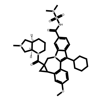 COc1ccc2c(c1)C1CC1(C(=O)N1CCC[C@@H]3CN(C)C[C@@H]31)Cn1c-2c(C2CCCCC2)c2ccc(C(=O)NS(=O)(=O)N(C)C)cc21